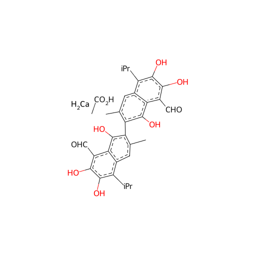 CC(=O)O.Cc1cc2c(C(C)C)c(O)c(O)c(C=O)c2c(O)c1-c1c(C)cc2c(C(C)C)c(O)c(O)c(C=O)c2c1O.[CaH2]